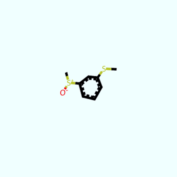 CSc1cccc([S+](C)[O-])c1